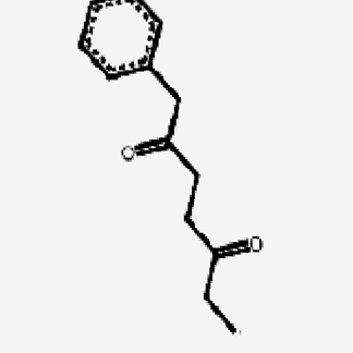 [CH2]CC(=O)CCC(=O)Cc1ccccc1